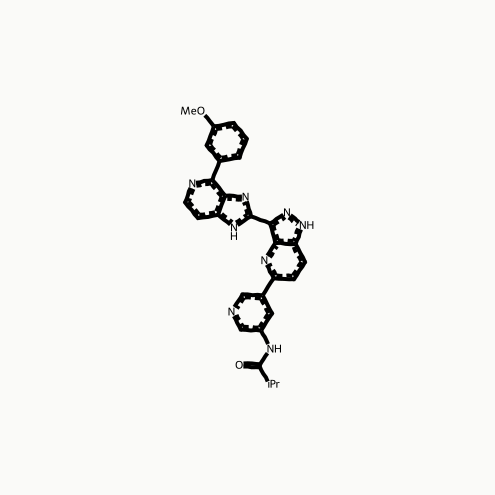 COc1cccc(-c2nccc3[nH]c(-c4n[nH]c5ccc(-c6cncc(NC(=O)C(C)C)c6)nc45)nc23)c1